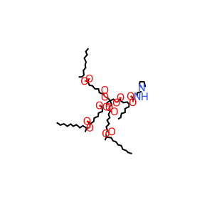 CCCCCCCCCC(C)OC(=O)CCCCCC(=O)OCC(COC(=O)CCCCCC(=O)OC(C)CCCCCCCCC)(COC(=O)CCCCCC(=O)OC(C)CCCCCCCCC)COC(=O)CCC(CCCCCC)OC(=O)NCCN1CCCC1